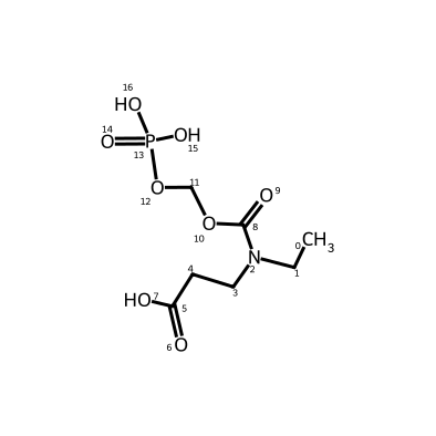 CCN(CCC(=O)O)C(=O)OCOP(=O)(O)O